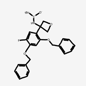 CC(C)(C)[S+]([O-])NC1(c2cc(F)c(OCc3ccccc3)cc2OCc2ccccc2)COC1